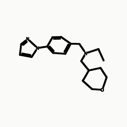 CCN(Cc1ccc(-n2cccn2)cc1)CC1CCOCC1